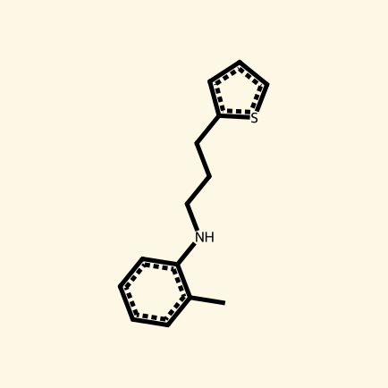 Cc1ccccc1NCCCc1cccs1